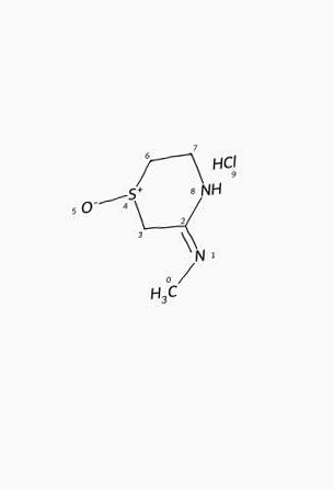 CN=C1C[S+]([O-])CCN1.Cl